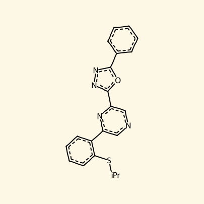 CC(C)Sc1ccccc1-c1cncc(-c2nnc(-c3ccccc3)o2)n1